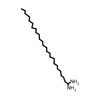 CCCCCCCCCCCCCCCCCCCCCCCCCC(N)N